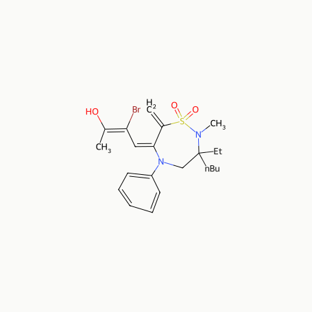 C=C1/C(=C\C(Br)=C(/C)O)N(c2ccccc2)CC(CC)(CCCC)N(C)S1(=O)=O